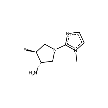 Cn1ccnc1N1C[C@H](N)[C@@H](F)C1